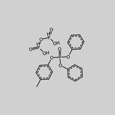 Cc1ccc(OP(=O)(Oc2ccccc2)Oc2ccccc2)cc1.O=[PH](O)O[PH](=O)O